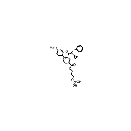 COc1ccc(N2CCN(C(=O)OCCCON(O)O)C[C@@H]2C(=O)N(Cc2ccccc2)C2CC2)cc1